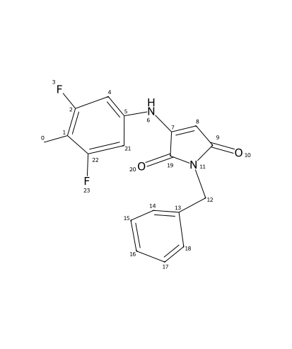 Cc1c(F)cc(NC2=CC(=O)N(Cc3ccccc3)C2=O)cc1F